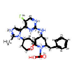 Cc1ncc(-c2nc(NC3CCN(C(=O)O)C(Cc4ccccc4)C3)ncc2F)n1C1CCOCC1